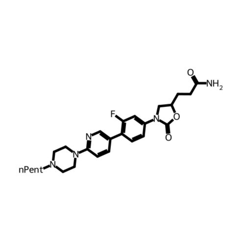 CCCCCN1CCN(c2ccc(-c3ccc(N4CC(CCC(N)=O)OC4=O)cc3F)cn2)CC1